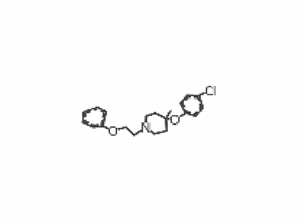 CC1(Oc2ccc(Cl)cc2)CCN(CCOc2ccccc2)CC1